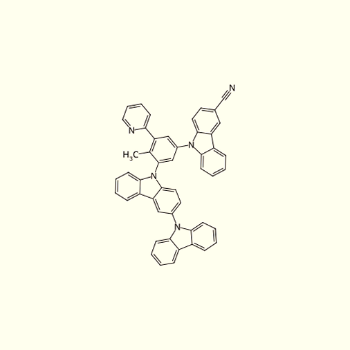 Cc1c(-c2ccccn2)cc(-n2c3ccccc3c3cc(C#N)ccc32)cc1-n1c2ccccc2c2cc(-n3c4ccccc4c4ccccc43)ccc21